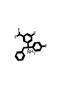 N[C@](Cc1ccccc1)(c1ccc(F)cc1)c1cc(F)cc(C(F)F)c1